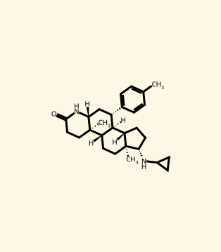 Cc1ccc([C@H]2C[C@H]3NC(=O)CC[C@]3(C)[C@H]3CC[C@]4(C)[C@@H](NC5CC5)CC[C@H]4[C@H]23)cc1